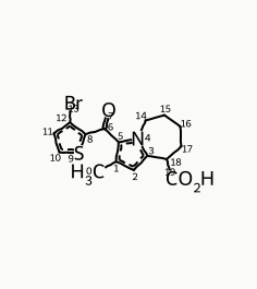 Cc1cc2n(c1C(=O)c1sccc1Br)CCCCC2C(=O)O